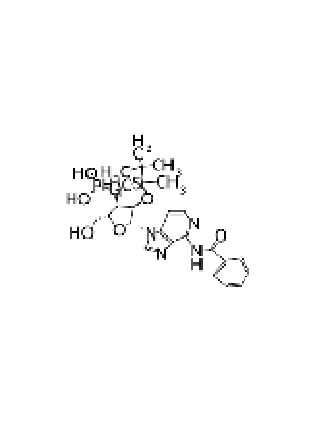 CC(C)(C)[Si](C)(C)O[C@@H]1[C@H](OP(O)O)[C@@H](CO)O[C@H]1n1cnc2c(NC(=O)c3ccccc3)nccc21